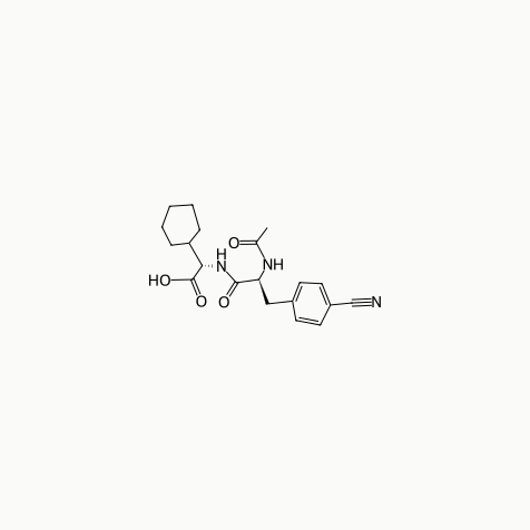 CC(=O)N[C@@H](Cc1ccc(C#N)cc1)C(=O)N[C@H](C(=O)O)C1CCCCC1